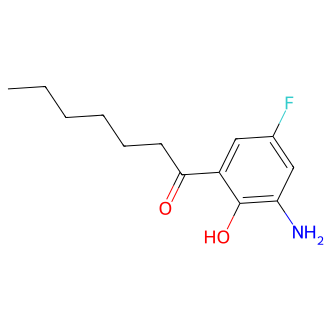 CCCCCCC(=O)c1cc(F)cc(N)c1O